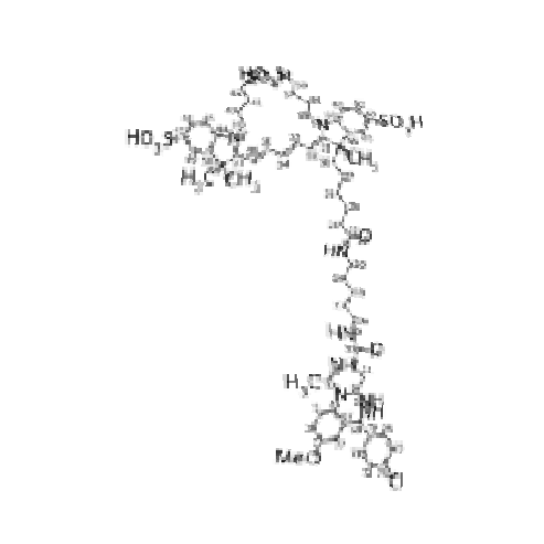 COc1ccc(N(C(C)=N)C(=N)CCC(=O)NCCCCCNC(=O)CCCCCC2(C)/C(=C/C=C/C=C/C3=[N+](CCCCS(=O)(=O)O)c4ccc(S(=O)(=O)O)cc4C3(C)C)N(CCCCS(=O)(=O)O)c3ccc(S(=O)(=O)O)cc32)c(C(=N)c2ccc(Cl)cc2)c1